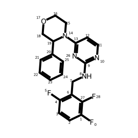 Fc1ccc(F)c(CNc2nccc(N3CCOCC3c3ccccc3)n2)c1F